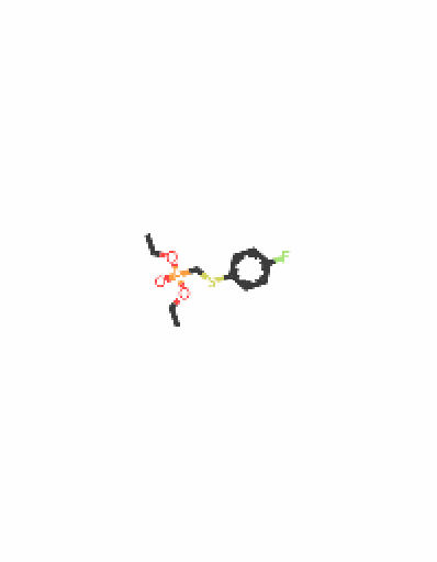 CCOP(=O)(CSc1ccc(F)cc1)OCC